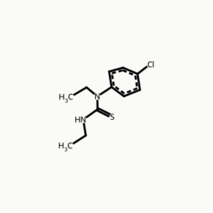 CCNC(=S)N(CC)c1ccc(Cl)cc1